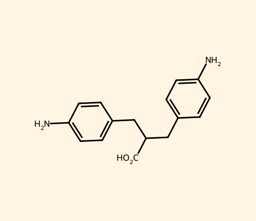 Nc1ccc(CC(Cc2ccc(N)cc2)C(=O)O)cc1